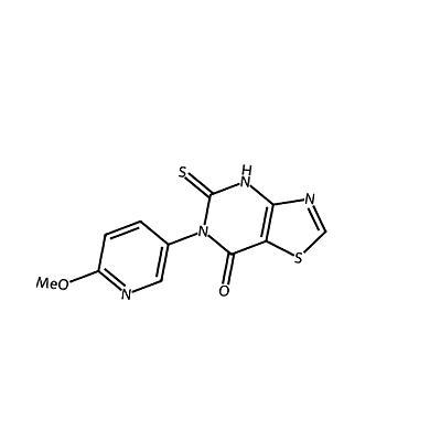 COc1ccc(-n2c(=S)[nH]c3ncsc3c2=O)cn1